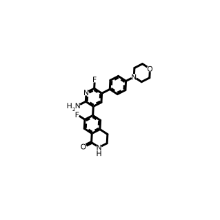 Nc1nc(F)c(-c2ccc(N3CCOCC3)cc2)cc1-c1cc2c(cc1F)C(=O)NCC2